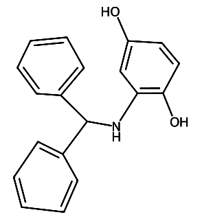 Oc1ccc(O)c(NC(c2ccccc2)c2ccccc2)c1